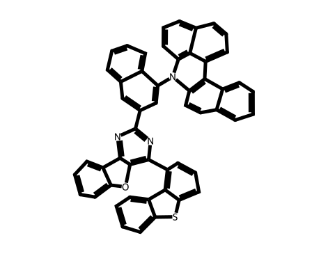 c1ccc2c(N3c4ccc5ccccc5c4-c4cccc5cccc3c45)cc(-c3nc(-c4cccc5sc6ccccc6c45)c4oc5ccccc5c4n3)cc2c1